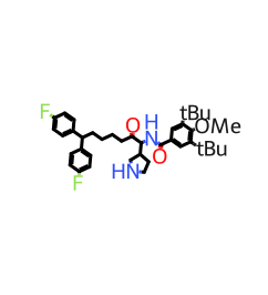 COc1c(C(C)(C)C)cc(C(=O)NC(C(=O)CCCCC(c2ccc(F)cc2)c2ccc(F)cc2)C2CCNC2)cc1C(C)(C)C